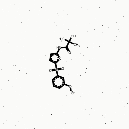 CC(C)Oc1cccc(S(=O)(=O)c2ccc(NC(=O)C(C)(C)O)s2)c1